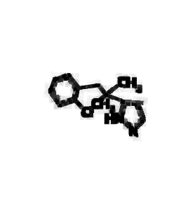 CC(C)(Cc1ccccc1Cl)c1[c]cn[nH]1